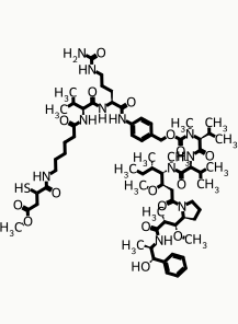 CC[C@H](C)[C@@H]([C@@H](CC(=O)N1CCC[C@H]1[C@H](OC)[C@@H](C)C(=O)N[C@H](C)[C@@H](O)c1ccccc1)OC)N(C)C(=O)[C@@H](NC(=O)[C@H](C(C)C)N(C)C(=O)OCc1ccc(NC(=O)[C@H](CCCNC(N)=O)NC(=O)[C@@H](NC(=O)CCCCCNC(=O)C(S)CC(=O)OC)C(C)C)cc1)C(C)C